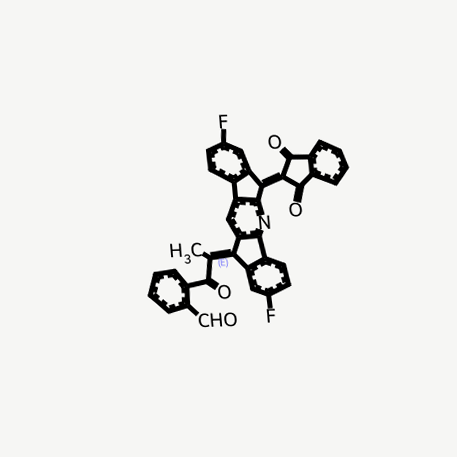 C/C(C(=O)c1ccccc1C=O)=C1/c2cc(F)ccc2-c2nc3c(cc21)-c1ccc(F)cc1C3=C1C(=O)c2ccccc2C1=O